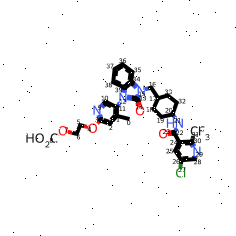 Cc1cc(OCCOC(=O)O)ncc1-n1c(=O)n(CC2CCC(NC(=O)c3cc(Cl)cnc3C(F)(F)F)CC2)c2ccccc21